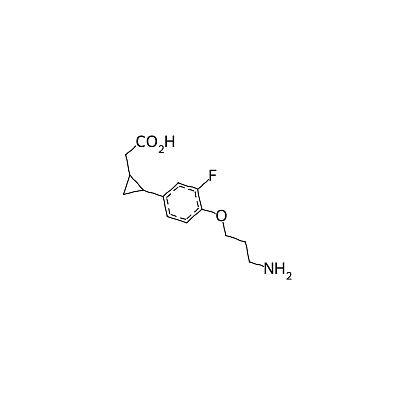 NCCCOc1ccc(C2CC2CC(=O)O)cc1F